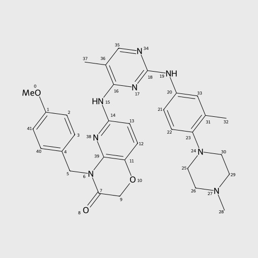 COc1ccc(CN2C(=O)COc3ccc(Nc4nc(Nc5ccc(N6CCN(C)CC6)c(C)c5)ncc4C)nc32)cc1